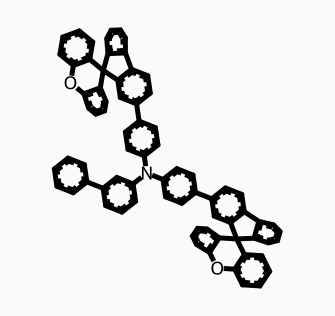 c1ccc(-c2cccc(N(c3ccc(-c4ccc5c(c4)C4(c6ccccc6Oc6ccccc64)c4ccccc4-5)cc3)c3ccc(-c4ccc5c(c4)C4(c6ccccc6Oc6ccccc64)c4ccccc4-5)cc3)c2)cc1